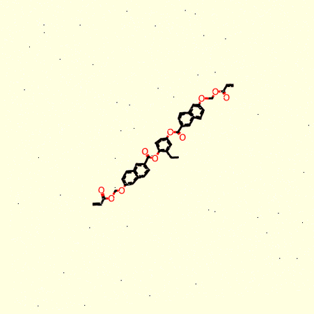 C=CC(=O)OCOc1ccc2cc(C(=O)Oc3ccc(OC(=O)c4ccc5cc(OCOC(=O)C=C)ccc5c4)c(CC)c3)ccc2c1